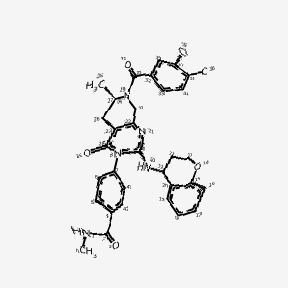 CNC(=O)c1ccc(-n2c(NC3CCOc4ccccc43)nc3c(c2=O)C[C@@H](C)N(C(=O)c2ccc(Cl)c(Cl)c2)C3)cc1